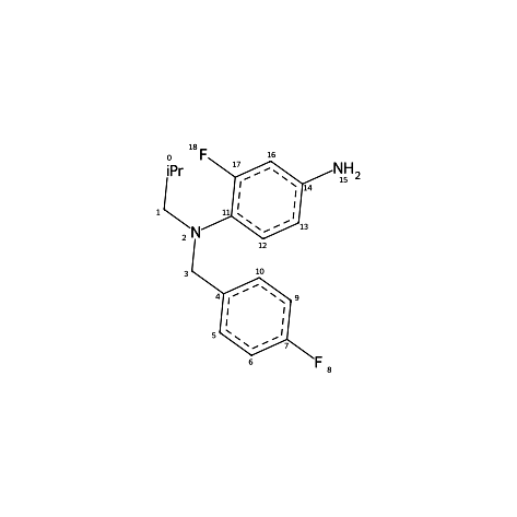 CC(C)CN(Cc1ccc(F)cc1)c1ccc(N)cc1F